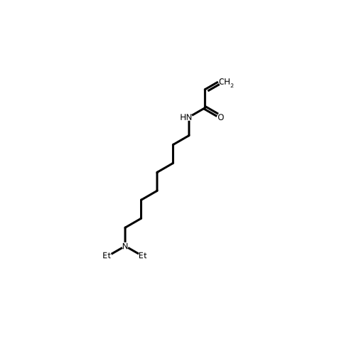 C=CC(=O)NCCCCCCCCN(CC)CC